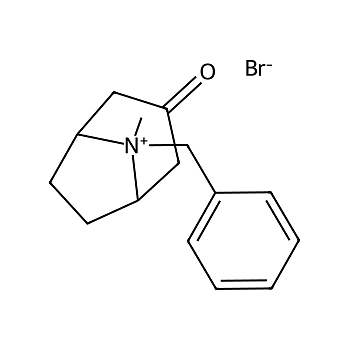 C[N+]1(Cc2ccccc2)C2CCC1CC(=O)C2.[Br-]